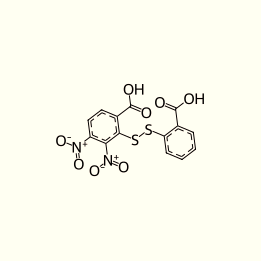 O=C(O)c1ccccc1SSc1c(C(=O)O)ccc([N+](=O)[O-])c1[N+](=O)[O-]